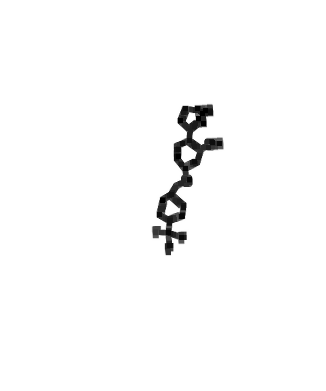 Oc1cc(OCc2ccc(C(F)(F)F)cc2)ccc1-c1cc[nH]n1